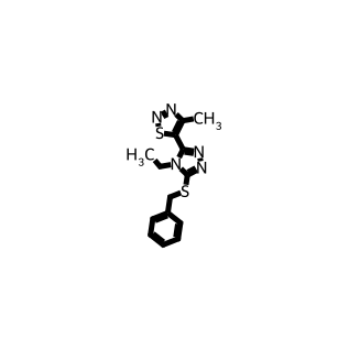 CCn1c(SCc2ccccc2)nnc1-c1snnc1C